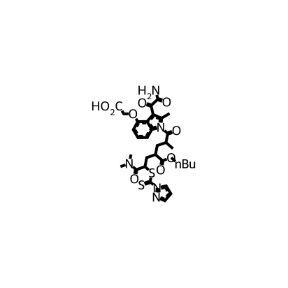 CCCCOC(=O)C(CC(C)C(=O)n1c(C)c(C(=O)C(N)=O)c2c(OCC(=O)O)cccc21)CC(SC(=S)n1cccn1)C(=O)N(C)C